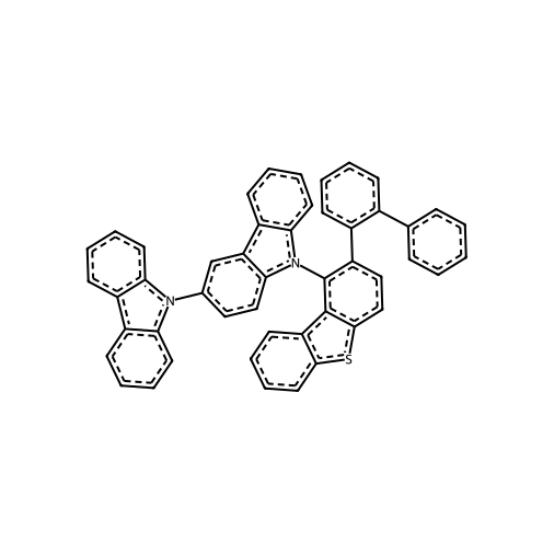 c1ccc(-c2ccccc2-c2ccc3sc4ccccc4c3c2-n2c3ccccc3c3cc(-n4c5ccccc5c5ccccc54)ccc32)cc1